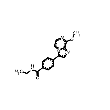 CCNC(=O)c1ccc(-c2cnc3c(SC)nccn23)cc1